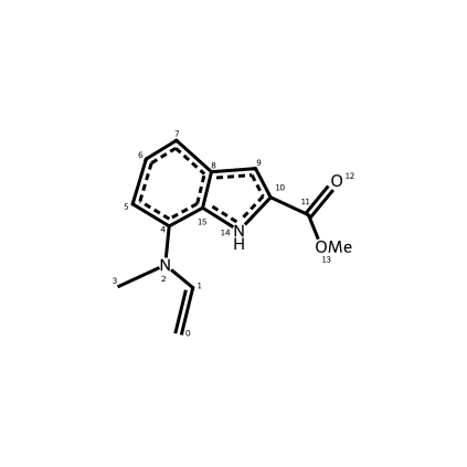 C=CN(C)c1cccc2cc(C(=O)OC)[nH]c12